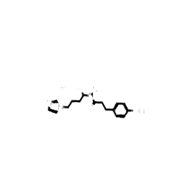 NN(C(=O)CCc1ccc(O)cc1)C(CCCn1ccnc1)C(=O)O